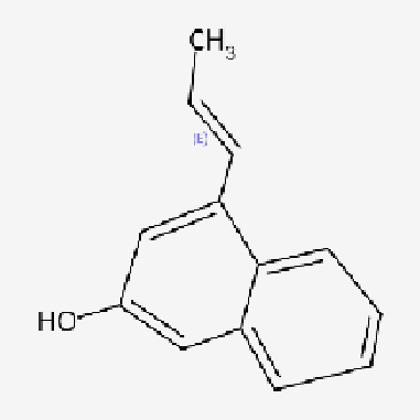 C/C=C/c1cc(O)cc2ccccc12